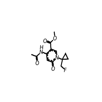 COC(=O)c1cn(C2(CF)CC2)c(=O)cc1NC(C)=O